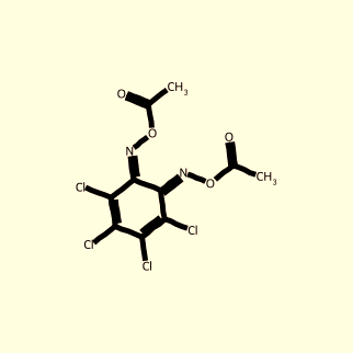 CC(=O)ON=C1C(=NOC(C)=O)C(Cl)=C(Cl)C(Cl)=C1Cl